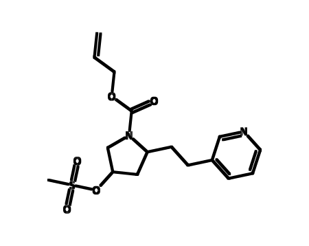 C=CCOC(=O)N1CC(OS(C)(=O)=O)CC1CCc1cccnc1